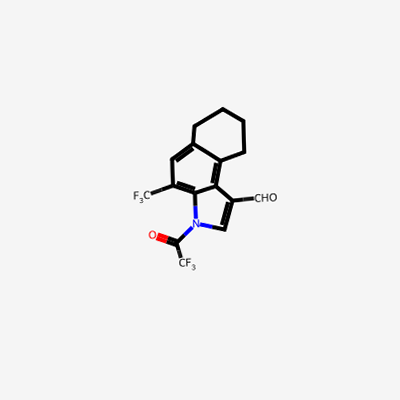 O=Cc1cn(C(=O)C(F)(F)F)c2c(C(F)(F)F)cc3c(c12)CCCC3